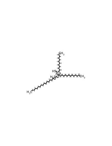 CCCCCCCCCCCCCCCCO[SiH2]OC(CCS)(CCCCCCCCCCCCC)OCCCCCCCCCCCC